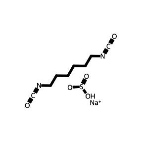 O=C=NCCCCCCN=C=O.O=S([O-])O.[Na+]